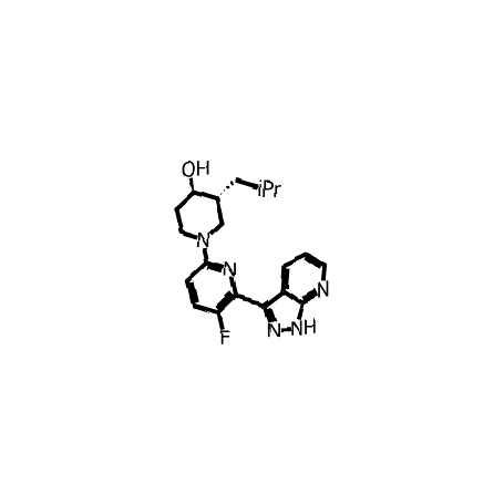 CC(C)C[C@@H]1CN(c2ccc(F)c(-c3n[nH]c4ncccc34)n2)CC[C@H]1O